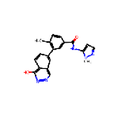 Cc1ccc(C(=O)Nc2ccnn2C)cc1-c1ccc2c(O)nncc2c1